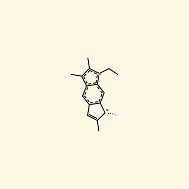 CCn1c(C)c(C)c2cc3c(cc21)[C@H](C)C(C)=C3